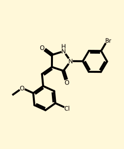 COc1ccc(Cl)cc1/C=C1/C(=O)NN(c2cccc(Br)c2)C1=O